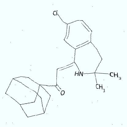 CC1(C)Cc2ccc(Cl)cc2C(=CC(=O)C23CC4CC(CC(C4)C2)C3)N1